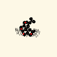 CC(C)(C)c1cc(-c2ccc3c(c2)N(c2cc(-c4ccccc4)cc(-c4ccccc4)c2)c2cc(-c4cc(C(C)(C)C)cc(C(C)(C)C)c4)cc4c2B3c2ccc(-n3c5ccccc5c5cc(N(c6ccccc6)c6ccccc6)ccc53)cc2N4c2cc(-c3ccccc3)cc(-c3ccccc3)c2)cc(C(C)(C)C)c1